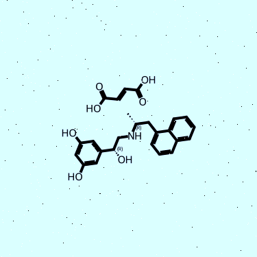 C[C@H](Cc1cccc2ccccc12)NC[C@H](O)c1cc(O)cc(O)c1.O=C(O)C=CC(=O)O